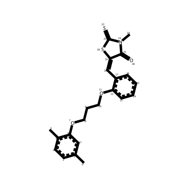 Cc1ccc(C)c(OCCCOc2ccccc2C=C2SC(=S)N(C)C2=O)c1